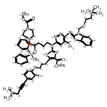 COC(=O)c1nc(N(CCCC(CN2CCN(C(=O)OC(C)(C)C)CC2)O[Si](c2ccccc2)(c2ccccc2)C(C)(C)C)c2cc(C)c(/N=c3\sc4ccccc4n3COCC[Si](C)(C)C)nn2)sc1CCCOc1ccc(C#CCN(C)C)cc1F